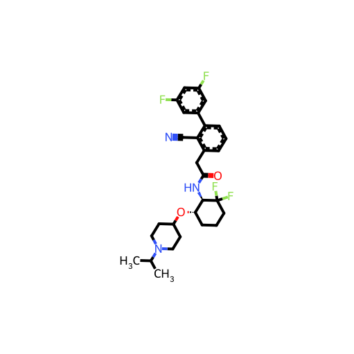 CC(C)N1CCC(O[C@H]2CCCC(F)(F)[C@@H]2NC(=O)Cc2cccc(-c3cc(F)cc(F)c3)c2C#N)CC1